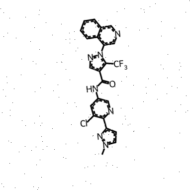 Cn1ccc(-c2ncc(NC(=O)c3cnn(-c4cncc5ccccc45)c3C(F)(F)F)cc2Cl)n1